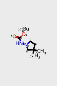 CC1(C)CCN(NC(=O)OC(C)(C)C)C1